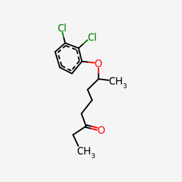 CCC(=O)CCCC(C)Oc1cccc(Cl)c1Cl